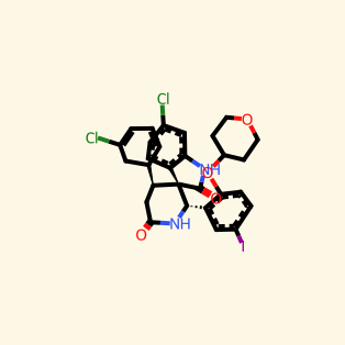 O=C1C[C@@H](C2C=CC=C(Cl)C2)[C@]2(C(=O)Nc3cc(Cl)ccc32)[C@H](c2cc(I)ccc2OC2CCOCC2)N1